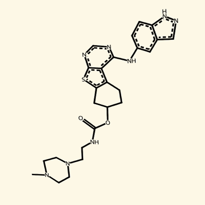 CN1CCN(CCNC(=O)OC2CCc3c(sc4ncnc(Nc5ccc6[nH]ncc6c5)c34)C2)CC1